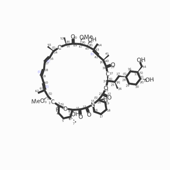 CO[C@H]1C[C@@H]2CC[C@@H](C)[C@@](O)(O2)C(=O)C(=O)N2CCCC[C@H]2C(=O)O[C@H]([C@H](C)C[C@@H]2CC[C@@H](O)[C@H](CO)C2)CC(=O)[C@H](C)/C=C(\C)[C@@H](O)[C@@H](OC)C(=O)[C@H](C)C[C@H](C)/C=C/C=C/C=C/1C